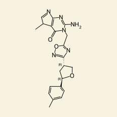 Cc1ccc([C@H]2C[C@H](c3noc(Cn4c(N)nc5c(c4=O)C(C)C=N5)n3)CO2)cc1